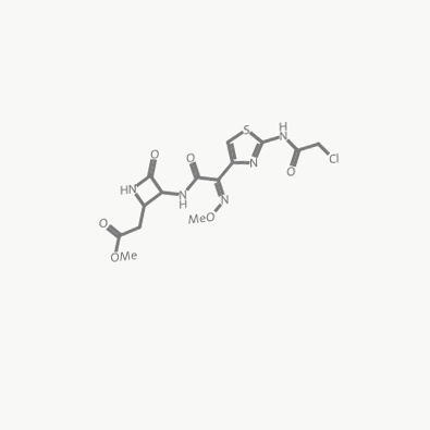 CON=C(C(=O)NC1C(=O)NC1CC(=O)OC)c1csc(NC(=O)CCl)n1